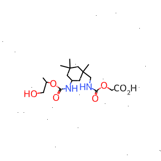 CC(CO)OC(=O)NC1CC(C)(C)CC(C)(CNC(=O)OCC(=O)O)C1